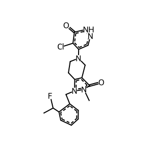 CC(F)c1ccccc1Cn1c2c(c(=O)n1C)CN(c1cn[nH]c(=O)c1Cl)CC2